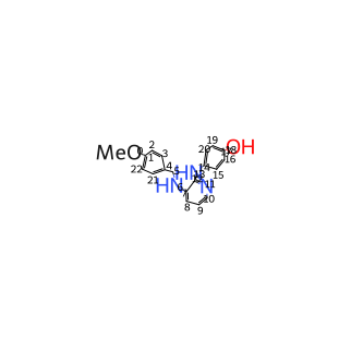 COc1ccc(CNc2cccnc2Nc2ccc(O)cc2)cc1